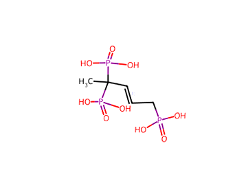 CC(/C=C/CP(=O)(O)O)(P(=O)(O)O)P(=O)(O)O